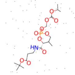 CC(C)OC(=O)OCO[P@@]1(=O)OCC(C)[C@H](C(=O)NCCC(=O)OC(C)(C)C)O1